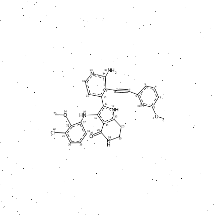 COc1cccc(C#Cc2c(-c3[nH]c4c(c3Nc3cccc(Cl)c3OC)C(=O)NCC4)ccnc2N)n1